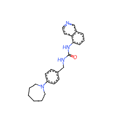 O=C(NCc1ccc(N2CCCCCC2)cc1)Nc1cccc2cnccc12